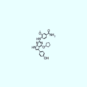 COc1cc(C(N)=O)ccc1Nc1nc(OC2CCCC2)c2c(-c3ccc(O)cc3)c[nH]c2n1